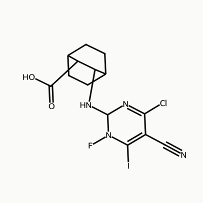 N#CC1=C(I)N(F)C(NC2C3CCC(CC3)C2C(=O)O)N=C1Cl